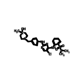 CN(C)S(=O)(=O)c1ccccc1Nc1nc(Nc2ccc(CN3CC[N+](C)(O)CC3)cc2)ncc1Cl